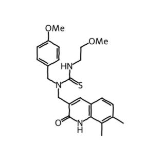 COCCNC(=S)N(Cc1ccc(OC)cc1)Cc1cc2ccc(C)c(C)c2[nH]c1=O